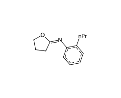 CCCc1ccccc1N=C1CCCO1